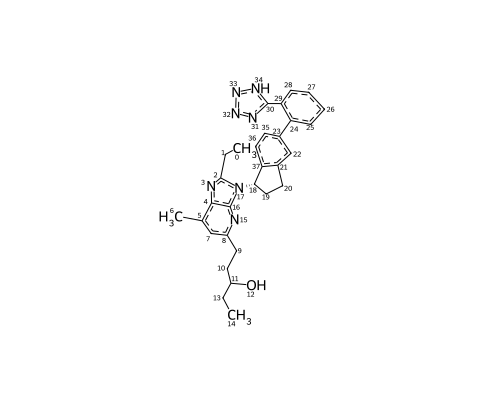 CCc1nc2c(C)cc(CCC(O)CC)nc2n1[C@H]1CCc2cc(-c3ccccc3-c3nnn[nH]3)ccc21